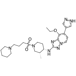 CCOc1c(-c2cn[nH]c2)ccn2nc(N[C@H]3CCN(S(=O)(=O)CCCN4CCCCC4)C[C@H]3C)nc12